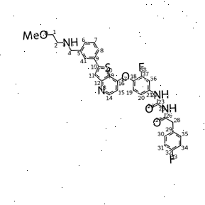 COCCNCc1cccc(-c2cc3nccc(Oc4ccc(NC(=O)NC(=O)Cc5ccc(F)cc5)cc4F)c3s2)c1